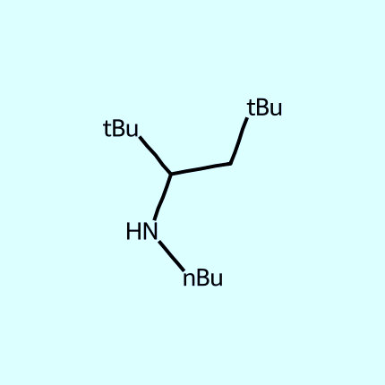 CCCCNC(CC(C)(C)C)C(C)(C)C